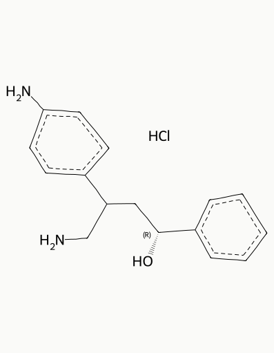 Cl.NCC(C[C@@H](O)c1ccccc1)c1ccc(N)cc1